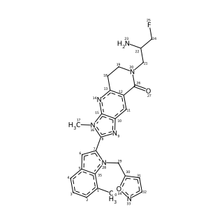 Cc1cccc2cc(-c3nc4cc5c(nc4n3C)CCN(CC(N)CF)C5=O)n(Cc3ccno3)c12